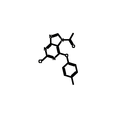 CC(=O)n1cnc2nc(Cl)nc(Oc3ccc(C)cc3)c21